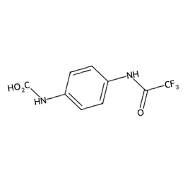 O=C(O)Nc1ccc(NC(=O)C(F)(F)F)cc1